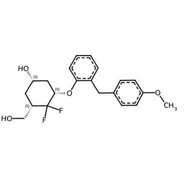 COc1ccc(Cc2ccccc2O[C@H]2C[C@@H](O)C[C@@H](CO)C2(F)F)cc1